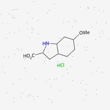 COC1CCC2CC(C(=O)O)NC2C1.Cl